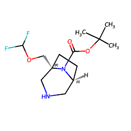 CC(C)(C)OC(=O)N1[C@H]2CC[C@]1(COC(F)F)CNC2